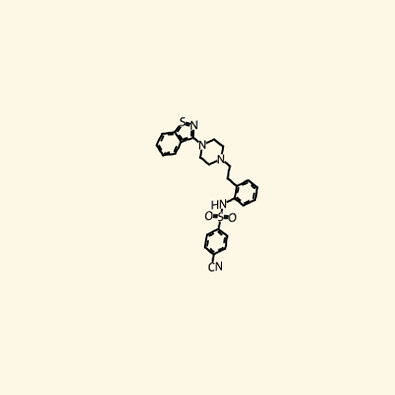 N#Cc1ccc(S(=O)(=O)Nc2ccccc2CCN2CCN(c3nsc4ccccc34)CC2)cc1